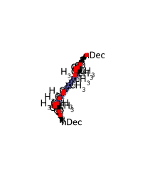 CCCCCCCCCCCCCCCC(=O)O[C@H]1CC(C)(C)C(/C=C/C(C)=C/C=C/C(C)=C/C=C/C=C(C)/C=C/C=C(C)/C=C/C2=C(C)C(=O)[C@@H](OC(=O)CCCCCCCCCCCCCCC)CC2(C)C)=C(C)C1=O